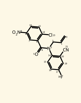 C=CCN(C(=O)c1cc([N+](=O)[O-])ccc1Cl)c1ccc(F)cc1C#N